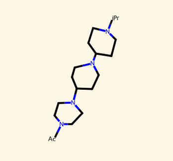 CC(=O)N1CCN(C2CCN(C3CCN(C(C)C)CC3)CC2)CC1